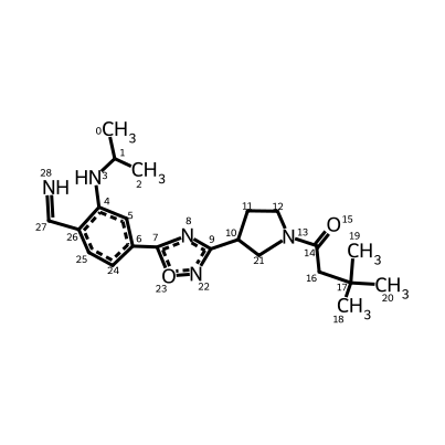 CC(C)Nc1cc(-c2nc(C3CCN(C(=O)CC(C)(C)C)C3)no2)ccc1C=N